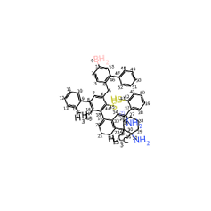 Bc1ccc(Cc2cc(-c3ccccc3C)c(C)c(C3=CCCC(C4(C)CCCCC4(C)N)=C3/C=C(\N)c3ccccc3S)c2S)c(-c2ccccc2)c1